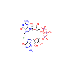 Nc1nc2c(ncn2[C@@H]2O[C@H](COP(=O)(O)OP(=O)(O)OP(=O)(O)OC[C@H]3O[C@@H](n4c[n+](CCF)c5c(=O)[nH]c(N)nc54)[C@@H](O)C3O)C(O)[C@@H]2O)c(=O)[nH]1